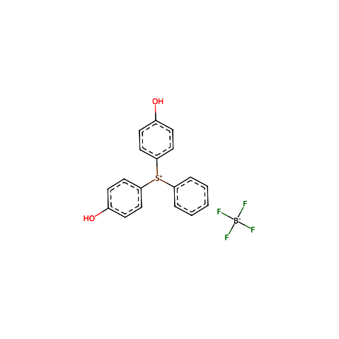 F[B-](F)(F)F.Oc1ccc([S+](c2ccccc2)c2ccc(O)cc2)cc1